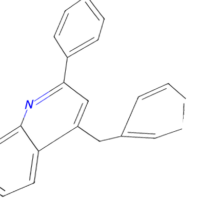 c1ccc(Cc2cc(-c3ccccc3)nc3ccccc23)cc1